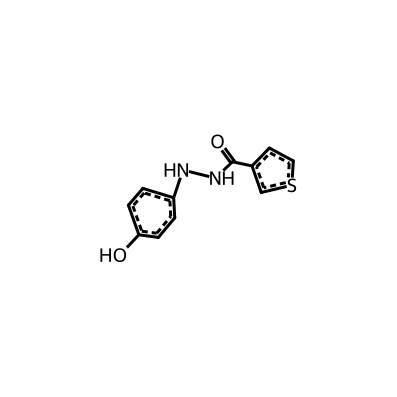 O=C(NNc1ccc(O)cc1)c1ccsc1